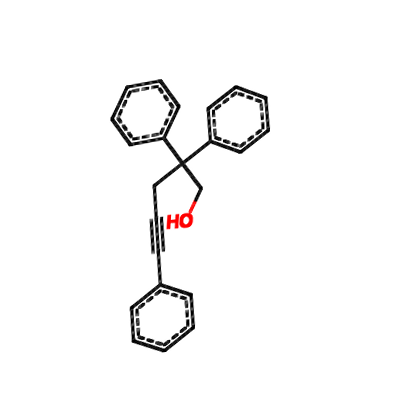 OCC(CC#Cc1ccccc1)(c1ccccc1)c1ccccc1